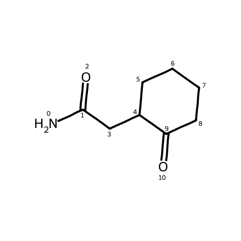 NC(=O)CC1CCCCC1=O